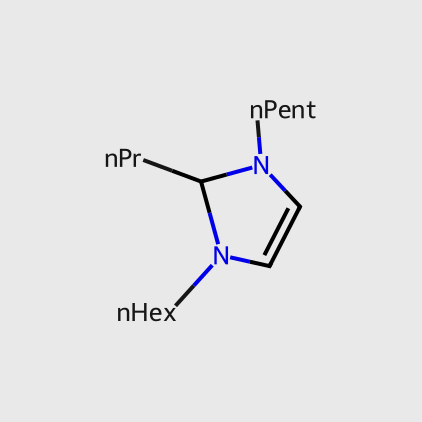 CCCCCCN1C=CN(CCCCC)C1CCC